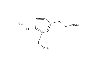 CCCCOc1ccc(CCNC)cc1OCCCC